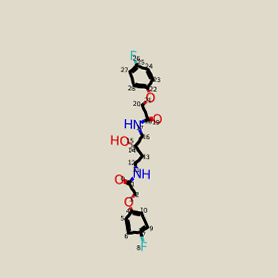 O=C(COc1ccc(F)cc1)NCC[C@H](O)CNC(=O)COc1ccc(F)cc1